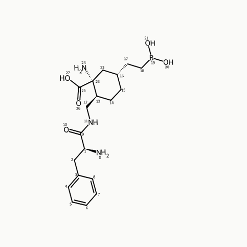 N[C@@H](Cc1ccccc1)C(=O)NC[C@@H]1CC[C@@H](CCB(O)O)C[C@]1(N)C(=O)O